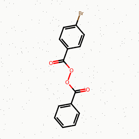 O=C(OOC(=O)c1ccc(Br)cc1)c1ccccc1